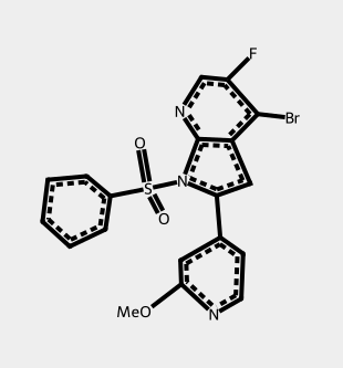 COc1cc(-c2cc3c(Br)c(F)cnc3n2S(=O)(=O)c2ccccc2)ccn1